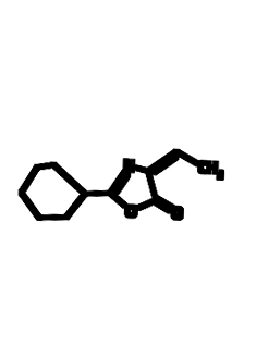 C/C=C1/N=C(C2CCCCC2)OC1=O